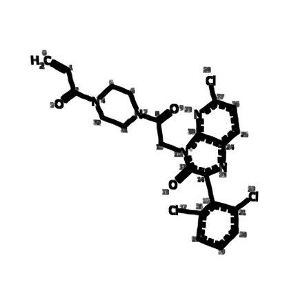 C=CC(=O)N1CCN(C(=O)Cn2c(=O)c(-c3c(Cl)cccc3Cl)nc3ccc(Cl)nc32)CC1